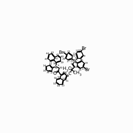 CC(C)(C)C=C[B-](c1ccc(Br)cc1)(c1ccc(Br)cc1)c1ccc(Br)cc1.O=C(C[S+](c1ccccc1)c1cccc2ccccc12)c1cccc2ccccc12